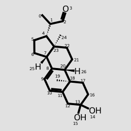 CC(C=O)[C@H]1CC[C@H]2C3=CC=C4CC(O)(O)CC[C@]4(C)[C@H]3CC[C@]12C